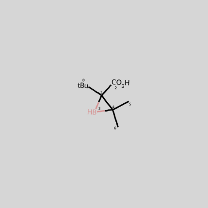 CC(C)(C)C1(C(=O)O)BC1(C)C